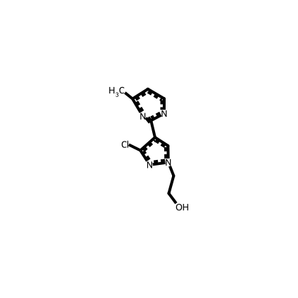 Cc1ccnc(-c2cn(CCO)nc2Cl)n1